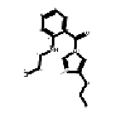 CCCc1cn(C(=O)c2ccccc2NCCCl)cn1